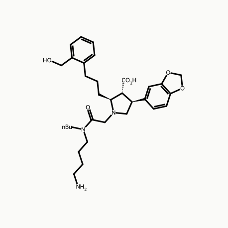 CCCCN(CCCCN)C(=O)CN1C[C@H](c2ccc3c(c2)OCO3)[C@@H](C(=O)O)[C@@H]1CCCc1ccccc1CO